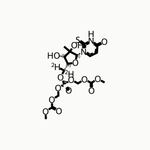 [2H]C([2H])(OP(=O)(OCOC(=O)OC)OCOC(=O)OC)[C@H]1O[C@@H](n2ccc(=O)[nH]c2=S)C(C)(O)[C@H]1O